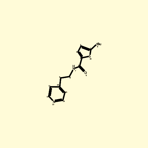 CC(C)(C)c1ccc(C(=O)NCCc2ccncc2)s1